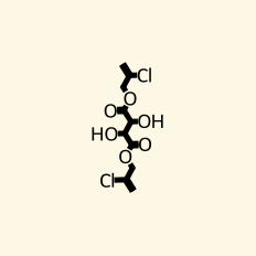 C=C(Cl)COC(=O)C(O)C(O)C(=O)OCC(=C)Cl